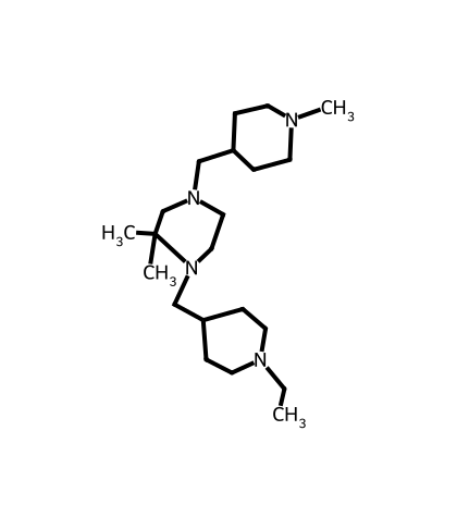 CCN1CCC(CN2CCN(CC3CCN(C)CC3)CC2(C)C)CC1